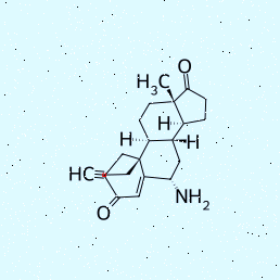 C#CC[C@]12CCC(=O)C=C1[C@@H](N)C[C@@H]1[C@@H]2CC[C@]2(C)C(=O)CC[C@@H]12